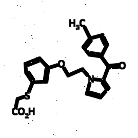 Cc1ccc(C(=O)c2cccn2CCOc2cccc(SCC(=O)O)c2)cc1